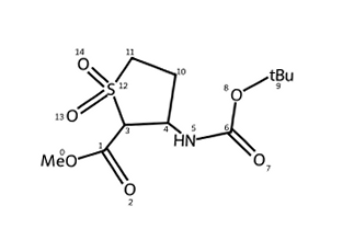 COC(=O)C1C(NC(=O)OC(C)(C)C)CCS1(=O)=O